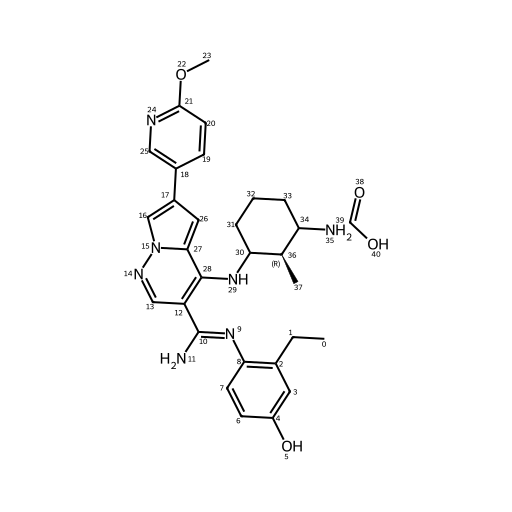 CCc1cc(O)ccc1N=C(N)c1cnn2cc(-c3ccc(OC)nc3)cc2c1NC1CCCC(N)[C@H]1C.O=CO